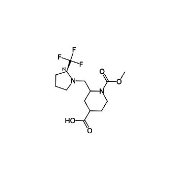 COC(=O)N1CCC(C(=O)O)CC1CN1CCC[C@H]1C(F)(F)F